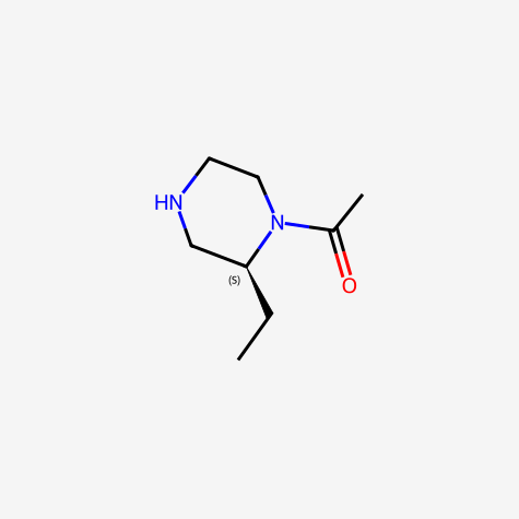 CC[C@H]1CNCCN1C(C)=O